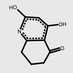 O=C1CCCc2nc(O)cc(O)c21